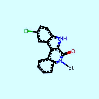 CCn1c(=O)c2[nH]c3ccc(Cl)cc3c2c2ccccc21